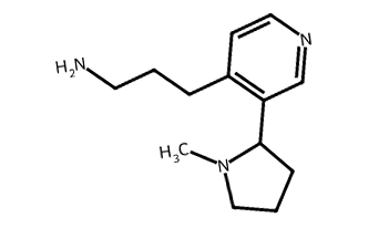 CN1CCCC1c1cnccc1CCCN